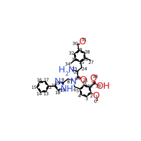 COc1ccc(CN(Cc2nc(-c3ccccc3)c[nH]2)C(=O)C(N)Cc2c(C)cc(C=O)cc2C)cc1C(=O)O